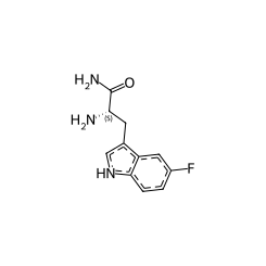 NC(=O)[C@@H](N)Cc1c[nH]c2ccc(F)cc12